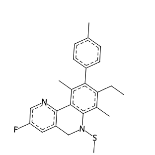 CCc1c(C)c2c(c(C)c1-c1ccc(C)cc1)-c1ncc(F)cc1CN2SC